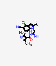 Cc1noc(C)c1C(=O)NC(=N)Cn1c(C(F)F)cc2c(Cl)c(C#N)ccc21